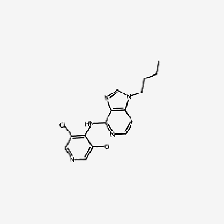 CCCCn1cnc2c(Nc3c(Cl)cncc3Cl)nccc21